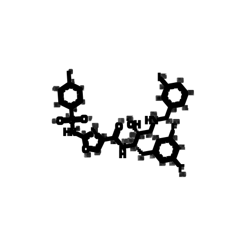 Cc1ccc(S(=O)(=O)Nc2nc(C(=O)N[C@@H](Cc3cc(F)cc(F)c3)[C@H](O)CNCc3cccc(I)c3)co2)cc1